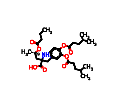 CCCC(=O)O[C@@H](C)CC(N)(Cc1ccc(OC(=O)CCC(C)C)c(OC(=O)CCC(C)C)c1)C(=O)O